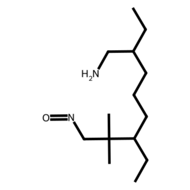 CCC(CN)CCCC(CC)C(C)(C)CN=O